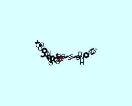 CCc1c2c(nc3ccc(OC(=O)OC(C)(C)C)cc13)-c1cc3c(c(=O)n1C2)COC(=O)[C@@]3(CC)OC(=O)OCCSSCCOC(=O)Nc1ccc(N2CCN(C)CC2)cc1